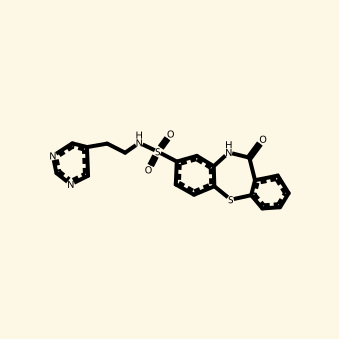 O=C1Nc2cc(S(=O)(=O)NCCc3cncnc3)ccc2Sc2ccccc21